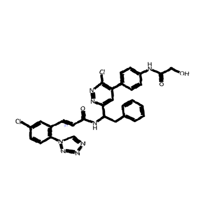 O=C(/C=C/c1cc(Cl)ccc1-n1cnnn1)NC(Cc1ccccc1)c1cc(-c2ccc(NC(=O)CO)cc2)c(Cl)nn1